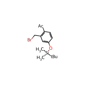 CC(=O)c1ccc(O[Si](C)(C)C(C)(C)C)cc1CBr